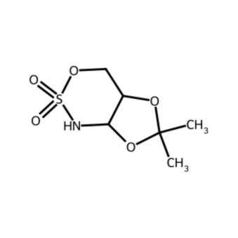 CC1(C)OC2COS(=O)(=O)NC2O1